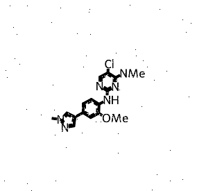 CNc1nc(Nc2ccc(-c3cnn(C)c3)cc2OC)ncc1Cl